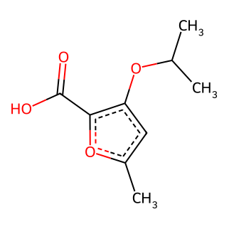 Cc1cc(OC(C)C)c(C(=O)O)o1